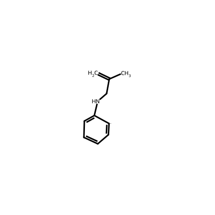 C=C(C)CNc1[c]cccc1